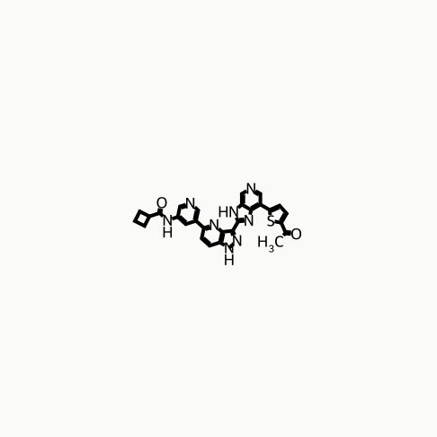 CC(=O)c1ccc(-c2cncc3[nH]c(-c4n[nH]c5ccc(-c6cncc(NC(=O)C7CCC7)c6)nc45)nc23)s1